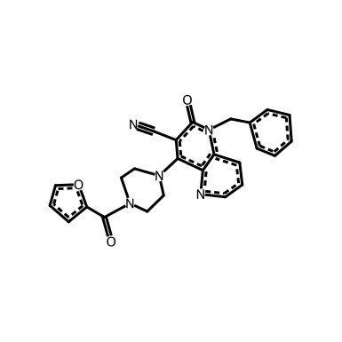 N#Cc1c(N2CCN(C(=O)c3ccco3)CC2)c2ncccc2n(Cc2ccccc2)c1=O